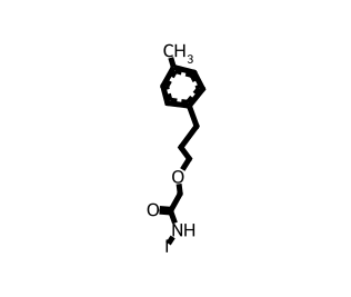 Cc1ccc(CCCOCC(=O)NI)cc1